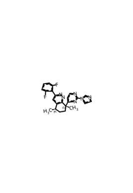 C[C@@H]1CC[C@@](C)(c2ccnc(-n3ccnc3)n2)c2nnc(-c3c(F)cccc3F)cc21